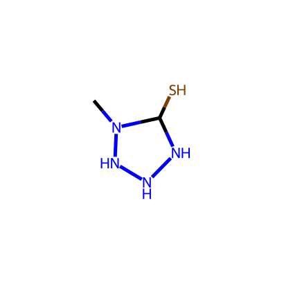 CN1NNNC1S